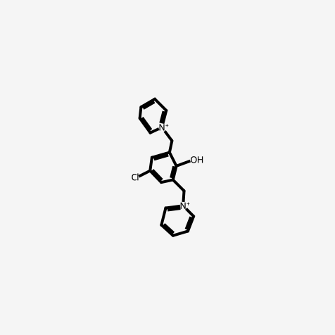 Oc1c(C[n+]2ccccc2)cc(Cl)cc1C[n+]1ccccc1